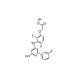 CC(C)OC(=O)COc1ccc(F)c(N(C)c2cc(O)cc(-c3cccc(F)c3)c2)c1F